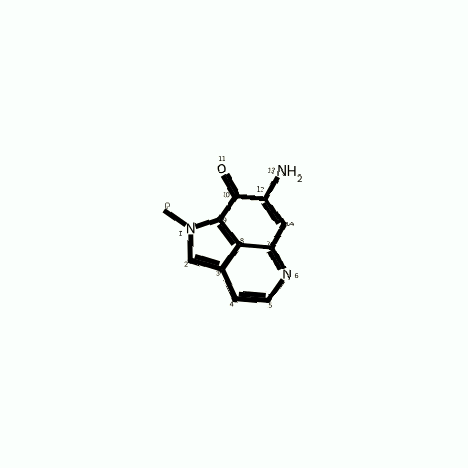 Cn1cc2ccnc3c2c1C(=O)C(N)=C3